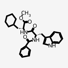 COC(=O)[C@@H](CC1CCCCC1)NC(=O)[C@H](Cc1c[nH]c2ccccc12)NC(=O)c1ccccc1